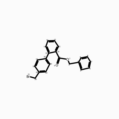 O=C(OCc1ccccc1)c1ccccc1-c1ccc(CBr)cc1